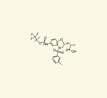 Cc1cccc(S(=O)(=O)N2C[C@H](C[C@@H](C)C(=O)O)Oc3ccc(NC(=O)OC(C)(C)C(F)(F)F)cc32)c1